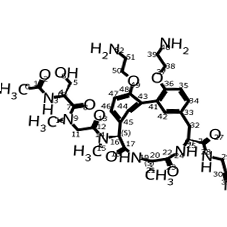 CC(=O)N[C@@H](CO)C(=O)N(C)CC(=O)N(C)[C@@H]1C(=O)N[C@@H](C)C(=O)N[C@H](C(=O)NCC#N)Cc2ccc(OCCN)c(c2)-c2cc1ccc2OCCN